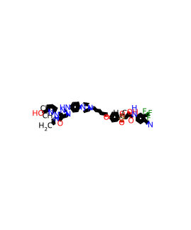 C=CCn1c(=O)c2cnc(Nc3ccc(N4CCN(CCCCCOc5ccc(S(=O)(=O)CC(C)(O)C(=O)Nc6ccc(C#N)c(C(F)(F)F)c6)cc5)CC4)cc3)nc2n1-c1cccc(C(C)(C)O)n1